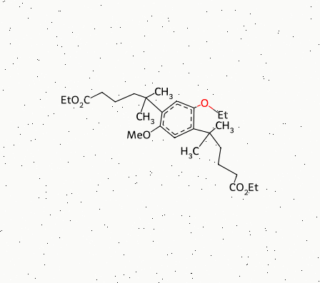 CCOC(=O)CCCC(C)(C)c1cc(OCC)c(C(C)(C)CCCC(=O)OCC)cc1OC